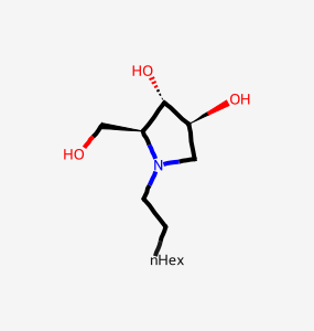 CCCCCCCCN1C[C@H](O)[C@@H](O)[C@@H]1CO